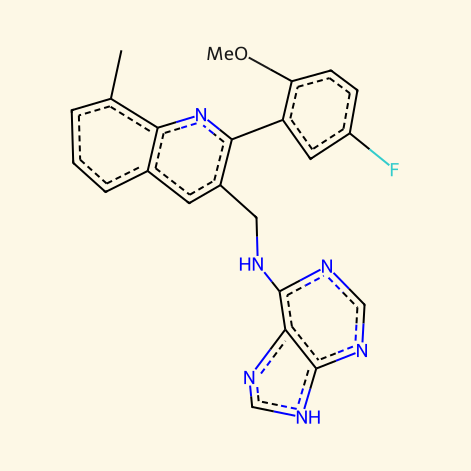 COc1ccc(F)cc1-c1nc2c(C)cccc2cc1CNc1ncnc2[nH]cnc12